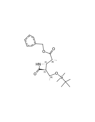 C[C@@H](O[Si](C)(C)C(C)(C)C)[C@H]1C(=O)N[C@@H]1[C@@H](C)C(=O)OCc1ccccc1